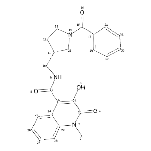 Cn1c(=O)c(O)c(C(=O)NCC2CCN(C(=O)c3ccccc3)C2)c2ccccc21